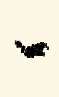 N=CNCCN1CC/C(=C\C2=C(C(=O)O)N3C(=O)[C@@H](NC(=O)/C(=N\O)c4nsc(N)n4)[C@H]3SC2)C1=O